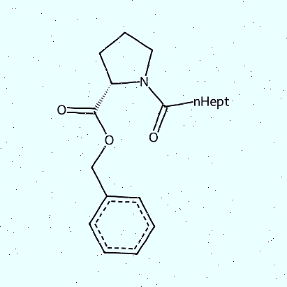 CCCCCCCC(=O)N1CCC[C@H]1C(=O)OCc1ccccc1